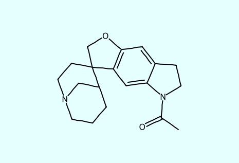 CC(=O)N1CCc2cc3c(cc21)C1(CCN2CCCC1C2)CO3